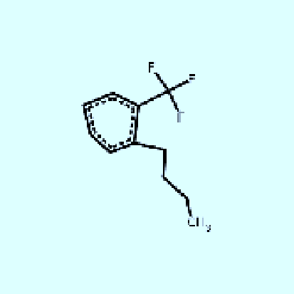 CCCCc1ccc[c]c1C(F)(F)F